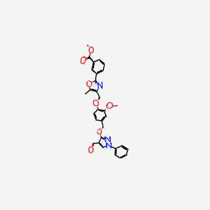 COC(=O)c1cccc(-c2nc(COc3ccc(COc4nn(-c5ccccc5)cc4C=O)cc3OC)c(C)o2)c1